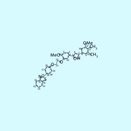 COc1ccc(-c2cc(-c3cc(C)c(C)c(OC)c3)no2)cc1OCCOc1ccc(-c2nc3ccccc3s2)cc1